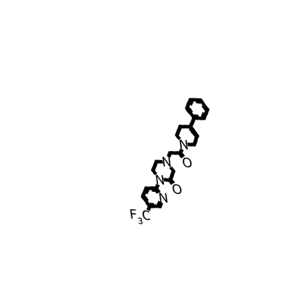 O=C(CN1CCN(c2ccc(C(F)(F)F)cn2)C(=O)C1)N1CC=C(c2ccccc2)CC1